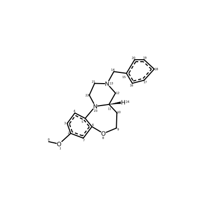 COc1ccc2c(c1)OCC[C@H]1CN(Cc3ccccc3)CCN21